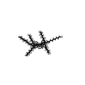 CCCCCCCCCCCC(CCCCCCCC)(CCCCCCCC)OC(=O)CC(O)C(=O)OC(CCCCCCCC)(CCCCCCCC)CCCCCCCCCCC